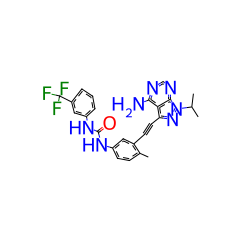 Cc1ccc(NC(=O)Nc2cccc(C(F)(F)F)c2)cc1C#Cc1nn(C(C)C)c2ncnc(N)c12